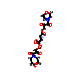 O=C(/C=C/C(=O)OCC(=O)C(=O)N1CCOCC1)OCC(=O)C(=O)N1CCOCC1